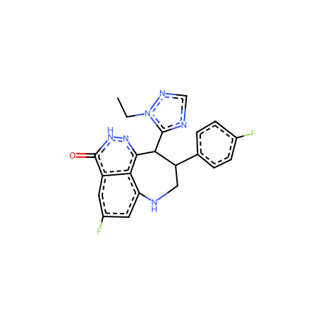 CCn1ncnc1C1c2n[nH]c(=O)c3cc(F)cc(c23)NCC1c1ccc(F)cc1